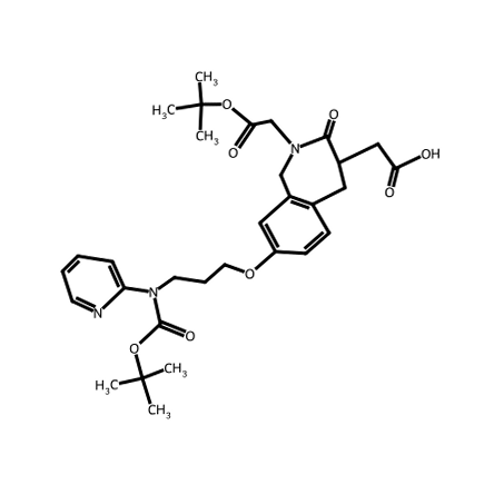 CC(C)(C)OC(=O)CN1Cc2cc(OCCCN(C(=O)OC(C)(C)C)c3ccccn3)ccc2CC(CC(=O)O)C1=O